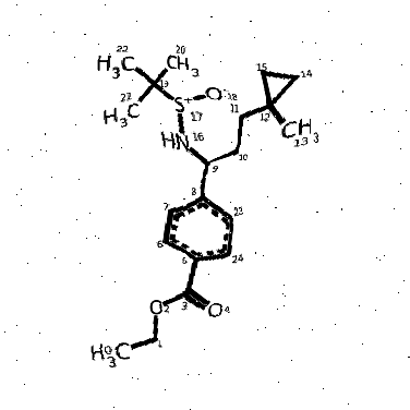 CCOC(=O)c1ccc([C@H](CCC2(C)CC2)N[S+]([O-])C(C)(C)C)cc1